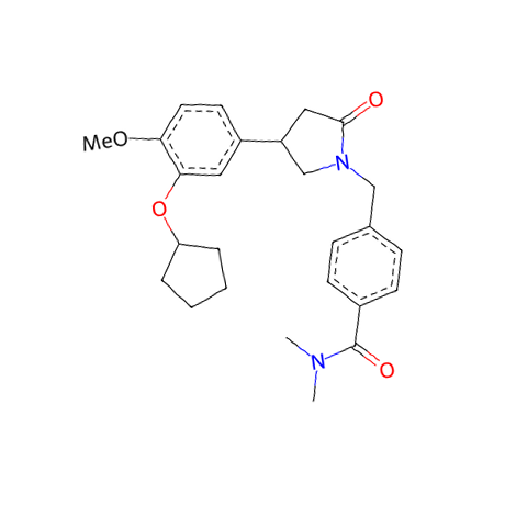 COc1ccc(C2CC(=O)N(Cc3ccc(C(=O)N(C)C)cc3)C2)cc1OC1CCCC1